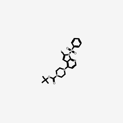 CC(C)(C)OC(=O)N1CCN(c2ccnc3c2cc(I)n3S(=O)(=O)c2ccccc2)CC1